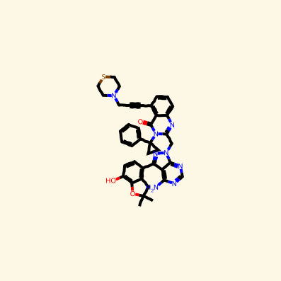 CC1(C)Cc2c(-c3nn(Cc4nc5cccc(C#CCN6CCSCC6)c5c(=O)n4C4(c5ccccc5)CC4)c4ncnc(N)c34)ccc(O)c2O1